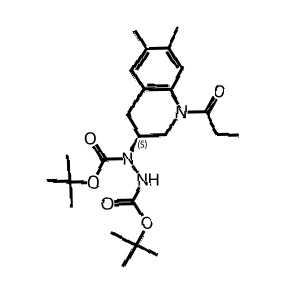 CCC(=O)N1C[C@@H](N(NC(=O)OC(C)(C)C)C(=O)OC(C)(C)C)Cc2cc(C)c(C)cc21